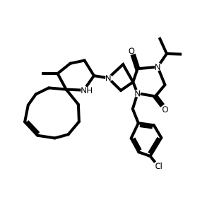 CC(C)N1CC(=O)N(Cc2ccc(Cl)cc2)C2(CN(C3CCC(C)C4(CCC/C=C\CCCC4)N3)C2)C1=O